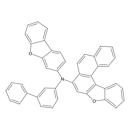 c1ccc(-c2cccc(N(c3ccc4c(c3)oc3ccccc34)c3cc4oc5ccccc5c4c4c3ccc3ccccc34)c2)cc1